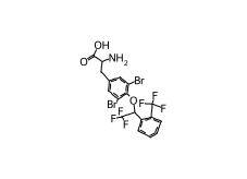 NC(Cc1cc(Br)c(OC(c2ccccc2C(F)(F)F)C(F)(F)F)c(Br)c1)C(=O)O